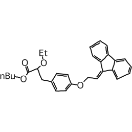 CCCCOC(=O)C(Cc1ccc(OCC=C2c3ccccc3-c3ccccc32)cc1)OCC